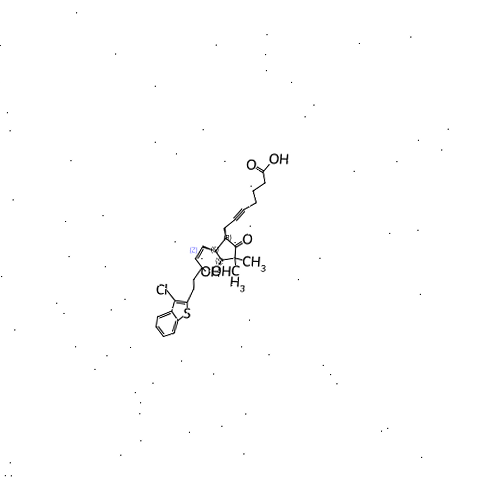 CC1(C)C(=O)[C@H](CC#CCCCC(=O)O)[C@H](/C=C\C(O)CCc2sc3ccccc3c2Cl)[C@@H]1O